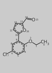 CCOc1ccc(Cl)cc1-c1ccc(C=O)o1